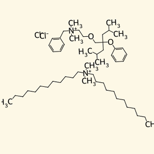 CC(C)CC(COCC[N+](C)(C)Cc1ccccc1)(CC(C)C)Oc1ccccc1.CCCCCCCCCCCC[N+](C)(C)CCCCCCCCCCCC.[Cl-].[Cl-]